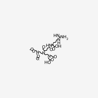 COOCN(CCN(CCN(CC=O)CC(=O)O)C(C=O)CCC(=O)N[C@@H](CCCNC(=N)N)C(=O)O)COOC